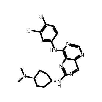 CN(C)[C@H]1CC[C@H](Nc2ncc3ncnc(Nc4ccc(Cl)c(Cl)c4)c3n2)CC1